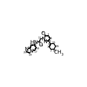 CC1CC=C(c2ccc(=O)n(CC(=O)Nc3ccn4ccnc4c3)n2)CC1